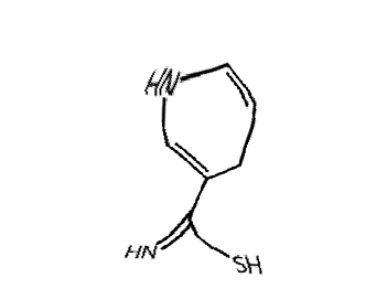 N=C(S)C1=CNC=CC1